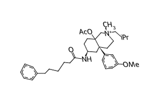 COc1cccc([C@]23CC[N@@+](C)(CC(C)C)CC2(OC(C)=O)CC[C@H](NC(=O)CCCCCc2ccccc2)C3)c1